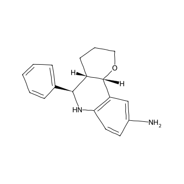 Nc1ccc2c(c1)[C@H]1OCCC[C@H]1[C@H](c1ccccc1)N2